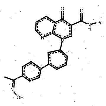 C/C(=N/O)c1ccc(-c2cccc(-n3cc(C(=O)NC(C)C)c(=O)c4cccnc43)c2)cc1